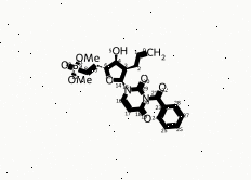 C=CC[C@@H]1[C@H](O)[C@@H](/C=C/P(=O)(OC)OC)O[C@H]1n1ccc(=O)n(C(=O)c2ccccc2)c1=O